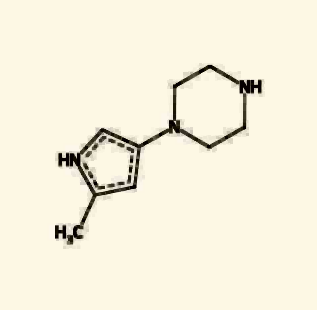 Cc1cc(N2CCNCC2)c[nH]1